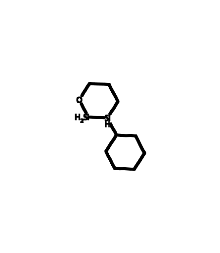 C1CCC([SiH]2CCCO[SiH2]2)CC1